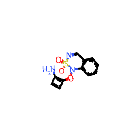 NC1=C(ON2c3ccccc3C=NS2(=O)=O)C=C1